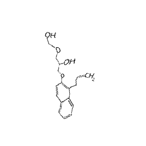 C=CCc1c(OCC(O)COCO)ccc2ccccc12